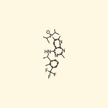 Cc1nc(N[C@H](C)c2cccc(C(F)(F)F)c2C)c2cc(P(=O)(C(C)C)C(C)C)c(C)nc2n1